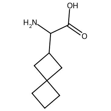 NC(C(=O)O)C1CC2(CCC2)C1